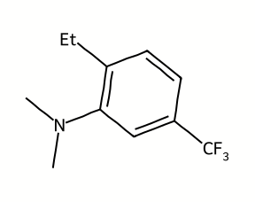 CCc1ccc(C(F)(F)F)cc1N(C)C